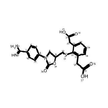 N=C(N)c1ccc(N2CC(CSc3c(CC(=O)O)cccc3CC(=O)O)OC2=O)cc1